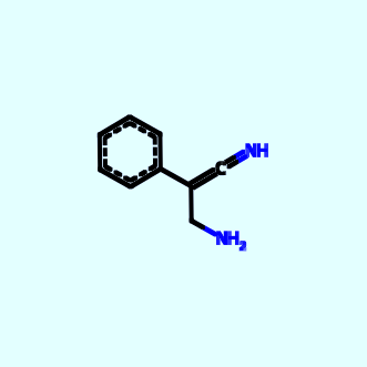 N=C=C(CN)c1ccccc1